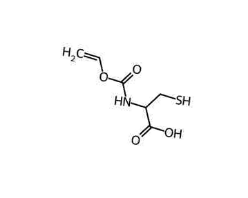 C=COC(=O)NC(CS)C(=O)O